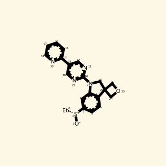 CC[S@@+]([O-])c1ccc2c(c1)N(c1ncc(-c3ccccn3)cn1)CC21COC1